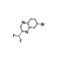 FC(F)c1cnc2ccc(Br)cc2n1